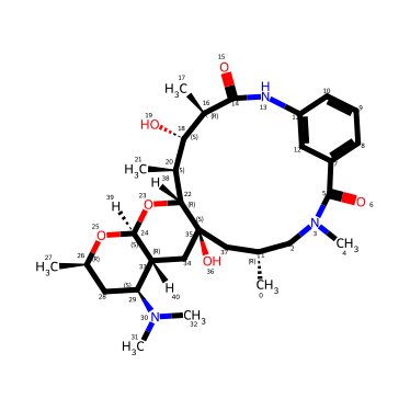 C[C@H]1CN(C)C(=O)c2cccc(c2)NC(=O)[C@H](C)[C@@H](O)[C@H](C)[C@H]2O[C@@H]3O[C@H](C)C[C@H](N(C)C)[C@H]3C[C@@]2(O)C1